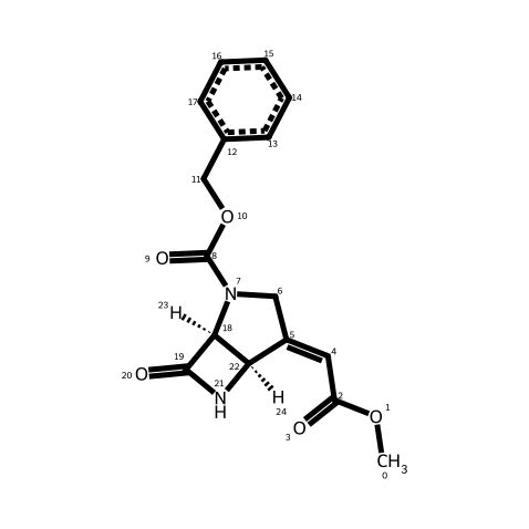 COC(=O)/C=C1/CN(C(=O)OCc2ccccc2)[C@@H]2C(=O)N[C@H]12